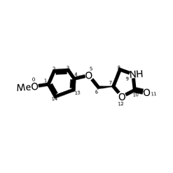 COc1ccc(OC[C@H]2CNC(=O)O2)cc1